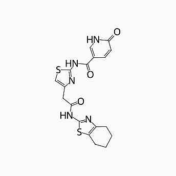 O=C(Cc1csc(NC(=O)c2ccc(=O)[nH]c2)n1)Nc1nc2c(s1)CCCC2